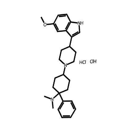 COc1ccc2[nH]cc(C3CCN(C4CCC(c5ccccc5)(N(C)C)CC4)CC3)c2c1.Cl.Cl